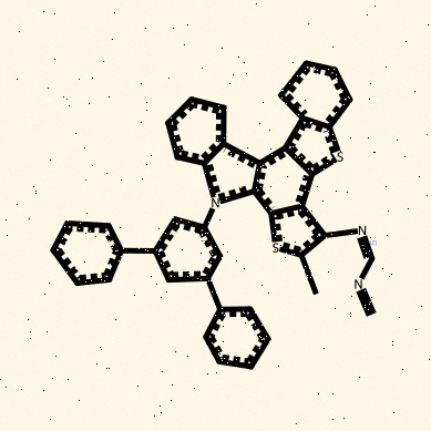 C=N/C=N\c1c(C)sc2c1c1sc3ccccc3c1c1c3ccccc3n(-c3cc(-c4ccccc4)cc(-c4ccccc4)c3)c21